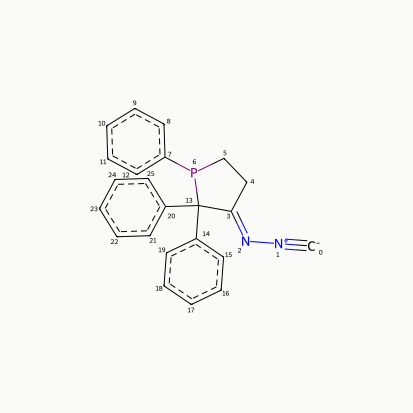 [C-]#[N+]N=C1CCP(c2ccccc2)C1(c1ccccc1)c1ccccc1